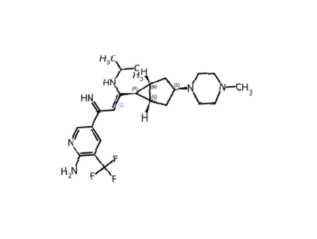 CC(C)N/C(=C\C(=N)c1cnc(N)c(C(F)(F)F)c1)[C@H]1[C@@H]2C[C@@H](N3CCN(C)CC3)C[C@@H]21